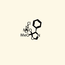 COC1(OC)OC=N[C@@H]1c1ccccc1.[Cl][Ni][Cl]